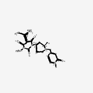 CCCCN1C(=O)C(=C(N)N)C(=O)N([C@@H]2CCN(Cc3ccn(C)c(=O)c3)[C@H](C)C2)C1=O